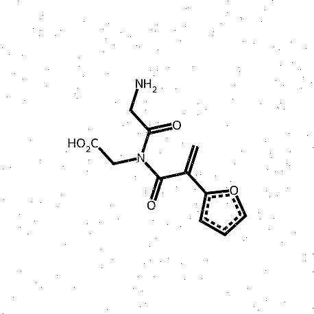 C=C(C(=O)N(CC(=O)O)C(=O)CN)c1ccco1